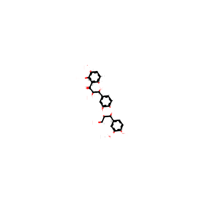 COc1cc(C2Oc3ccc(C4Oc5ccc(O)c(O)c5C(=O)C4O)cc3OC2CO)ccc1O